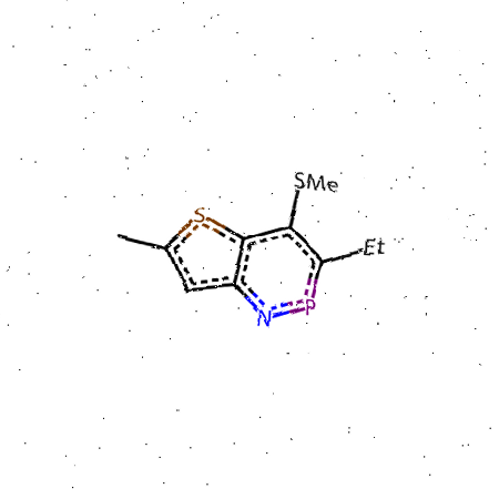 CCc1pnc2cc(C)sc2c1SC